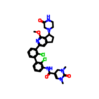 COc1nc(-c2cccc(-c3cccc(NC(=O)C4=CN(C)C(=O)N(C)C4)c3Cl)c2Cl)cc2c1C(N1CCNC(=O)C1)CC2